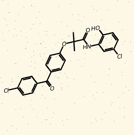 CC(C)(Oc1ccc(C(=O)c2ccc(Cl)cc2)cc1)C(=O)Nc1cc(Cl)ccc1O